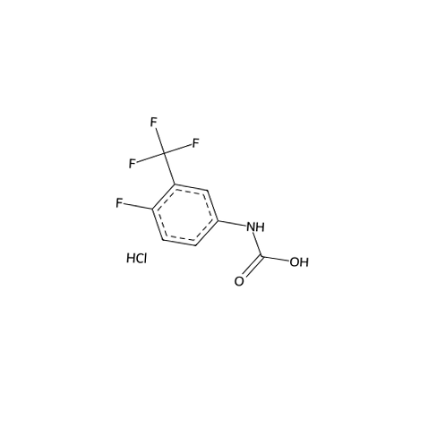 Cl.O=C(O)Nc1ccc(F)c(C(F)(F)F)c1